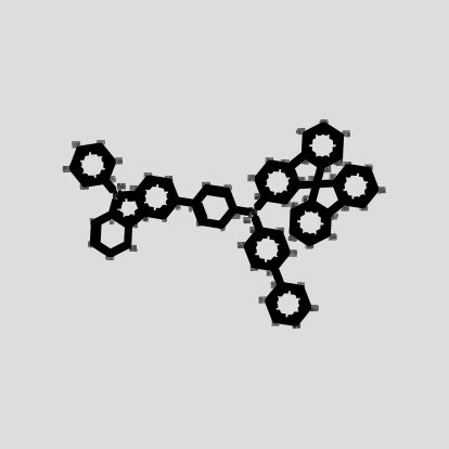 C1=Cc2c(c3cc(C4=CCC(N(c5ccc(-c6ccccc6)cc5)c5ccc6c(c5)C5(c7ccccc7-c7ccccc75)c5ccccc5-6)C=C4)ccc3n2-c2ccccc2)CC1